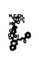 CC(C)(C)OC(=O)NC12CC(CC(NC(=O)[C@@H]3Cc4ccccc4CN3CCCC(=O)c3ccccc3)C(=O)O)(C1)C2